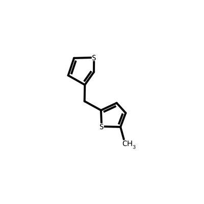 Cc1ccc(Cc2ccsc2)s1